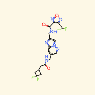 O=C(CC1CC(F)(F)C1)NCc1cnn2cc(CNC(=O)c3nonc3C(F)F)nc2c1